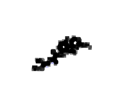 C=N/C(=C\N=C(/C)C(=O)Nc1ccc(F)c([C@]2(C(F)F)CCOC(N)=N2)c1)OC